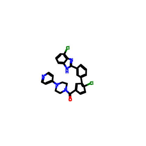 O=C(c1ccc(Cl)c(-c2cccc(-c3nc4c(Cl)cccc4[nH]3)c2)c1)N1CCN(c2ccncc2)CC1